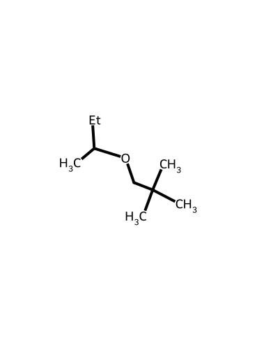 CCC(C)OCC(C)(C)C